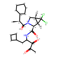 CC(=O)C(=O)C(CC1CCC1)NC(=O)[C@@H]1[C@@H]2[C@H](CN1C(=O)[C@@H](C)C1CCCCC1)C2(Cl)Cl